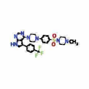 CN1CCN(S(=O)(=O)c2ccc(N3CCN(c4ncnc5[nH]cc(-c6ccc(C(F)(F)F)cc6)c45)CC3)cc2)CC1